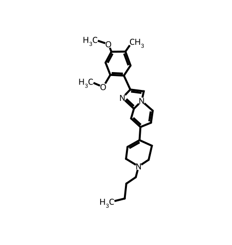 CCCCN1CC=C(c2ccn3cc(-c4cc(C)c(OC)cc4OC)nc3c2)CC1